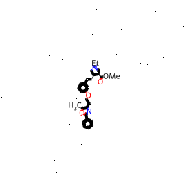 CCN1C[C@@H](CCc2cccc(OCCc3nc(-c4ccccc4)oc3C)c2)[C@H](C(=O)OC)C1